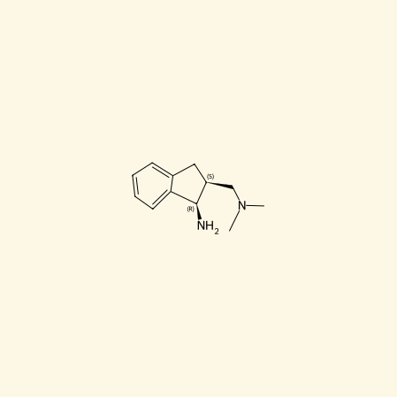 CN(C)C[C@@H]1Cc2ccccc2[C@@H]1N